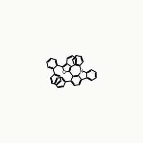 c1ccc(-c2ccccc2-c2oc(-c3c(-c4ccccc4)ccc4c5ccccc5n(-c5ccccc5)c34)c3ccccc23)cc1